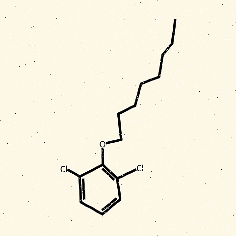 CCCCCCCCOc1c(Cl)c[c]cc1Cl